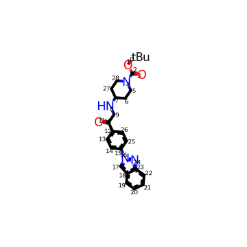 CC(C)(C)OC(=O)N1CCC(NCC(=O)c2ccc(-n3cc4ccccc4n3)cc2)CC1